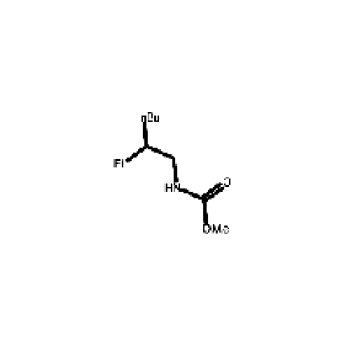 CCCCC(CC)CNC(=O)OC